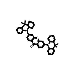 CC1(C)c2ccccc2N(c2ccc3c(=O)c4ccc(N5c6ccccc6C(C)(C)c6ccccc65)cc4sc3c2)c2ccccc21